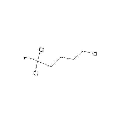 FC(Cl)(Cl)CCCCCl